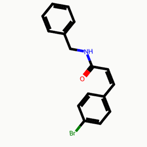 O=C(/C=C\c1ccc(Br)cc1)NCc1ccccc1